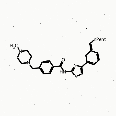 CCCCCC=C1C=CC=C(c2csc(NC(=O)c3ccc(CN4CCN(C)CC4)cc3)n2)C1